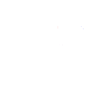 C[N+](C)(C)C/C(O)=[P+](\[O-])c1ccc2ccc3cccc4ccc1c2c34